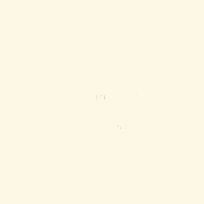 [CH2]CC(CC)NC(N)=O